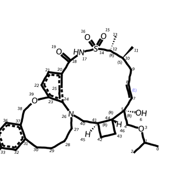 CC(C)OC[C@]1(O)/C=C/C[C@H](C)[C@@H](C)S(=O)(=O)NC(=O)c2ccc3c(c2)N(CCCCc2cc(Cl)ccc2CO3)C[C@@H]2CC[C@H]21